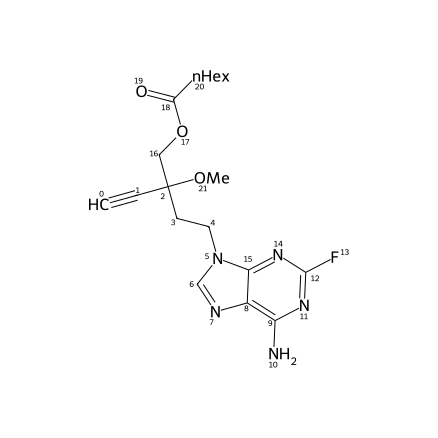 C#CC(CCn1cnc2c(N)nc(F)nc21)(COC(=O)CCCCCC)OC